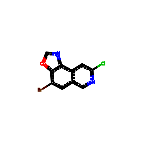 Clc1cc2c(cn1)cc(Br)c1ocnc12